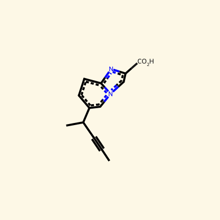 CC#CC(C)c1ccc2nc(C(=O)O)cn2c1